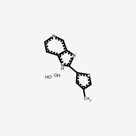 Cc1csc(-c2nc3cnccc3[nH]2)c1.Cl.Cl